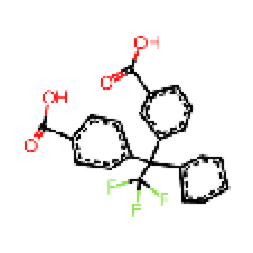 O=C(O)c1ccc(C(c2ccccc2)(c2cccc(C(=O)O)c2)C(F)(F)F)cc1